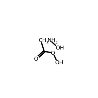 CC(=O)OO.NO